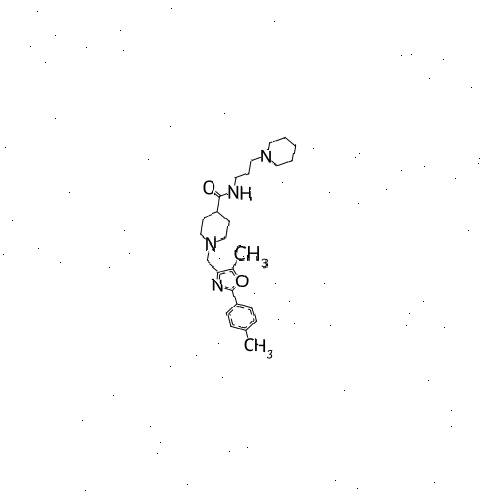 Cc1ccc(-c2nc(CN3CCC(C(=O)NCCCN4CCCCC4)CC3)c(C)o2)cc1